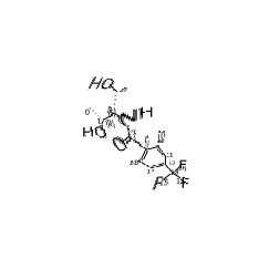 C[C@@H](O)[C@H](CO)NC(=O)c1ccc(C(F)(F)F)cc1